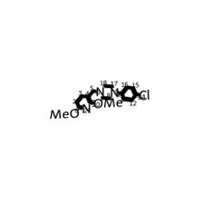 COc1ccc(CN2CCN(c3ccc(Cl)cc3)CC2)c(OC)n1